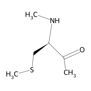 CN[C@H](CSC)C(C)=O